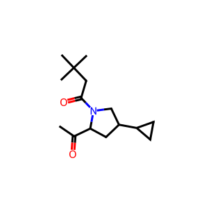 CC(=O)C1CC(C2CC2)CN1C(=O)CC(C)(C)C